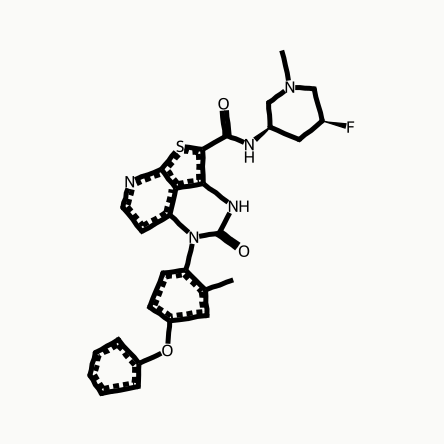 Cc1cc(Oc2ccccc2)ccc1N1C(=O)Nc2c(C(=O)N[C@@H]3C[C@H](F)CN(C)C3)sc3nccc1c23